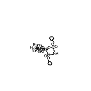 CCOP(C)(=O)OCC.CCOP(C)(=O)OCC.O=C(OCc1ccccc1)N1CCNCCN(C(=O)OCc2ccccc2)CCNCC1